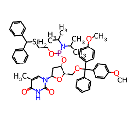 COc1ccc(C(OC[C@H]2O[C@@H](n3cc(C)c(=O)[nH]c3=O)C[C@@H]2OP(OCC[SiH2]C(c2ccccc2)c2ccccc2)N(C(C)C)C(C)C)(c2ccccc2)c2ccc(OC)cc2)cc1